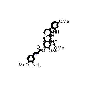 COC(=O)[C@H]1[C@H]2C[C@@H]3c4[nH]c5cc(OC)ccc5c4CCN3C[C@H]2C[C@@H](OC(=O)/C=C/c2ccc(OC)c(N)c2)[C@@H]1OC